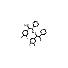 Cc1ccc(C(=S)C(=S)c2ccccc2)cc1C.Cc1ccc(C(=S)C(=S)c2ccccc2)cc1C.[Ni]